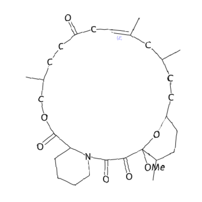 COC12OC(CCC(C)C/C(C)=C\CC(=O)CCC(C)COC(=O)C3CCCCN3C(=O)C1=O)CCC2C